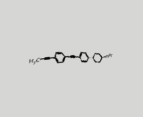 CC#Cc1ccc(C#Cc2ccc([C@H]3CC[C@H](CCC)CC3)cc2)cc1